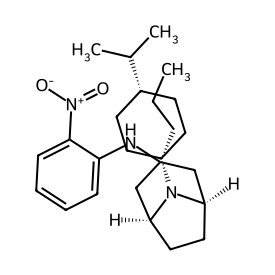 CCC[C@]1(Nc2ccccc2[N+](=O)[O-])C[C@H]2CC[C@@H](C1)N2[C@H]1CC[C@@H](C(C)C)CC1